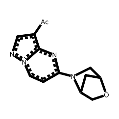 CC(=O)c1cnn2ccc(N3CC4CC3CO4)nc12